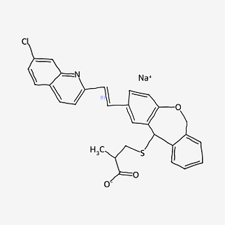 CC(CSC1c2ccccc2COc2ccc(/C=C/c3ccc4ccc(Cl)cc4n3)cc21)C(=O)[O-].[Na+]